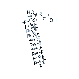 OCCCC(O)SC(F)(F)C(F)(F)C(F)(F)C(F)(F)C(F)(F)C(F)(F)C(F)(F)C(F)(F)C(F)(F)C(F)(F)F